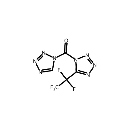 O=C(n1cnnn1)n1nnnc1C(F)(F)C(F)(F)F